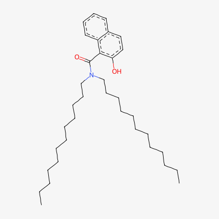 CCCCCCCCCCCCN(CCCCCCCCCCCC)C(=O)c1c(O)ccc2ccccc12